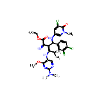 CCOC(=O)C(=N)/C(=C(\Nc1cnc(N(C)C)nc1OC)C(C)C)C(Nc1cc(Cl)c(=O)n(C)c1)c1ccc(Cl)c(F)c1